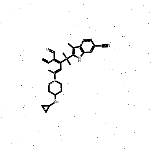 C=C/C(C=O)=C(\C=C(/C)N1CCC(NC2CC2)CC1)C(C)(C)c1[nH]c2cc(C#N)ccc2c1C